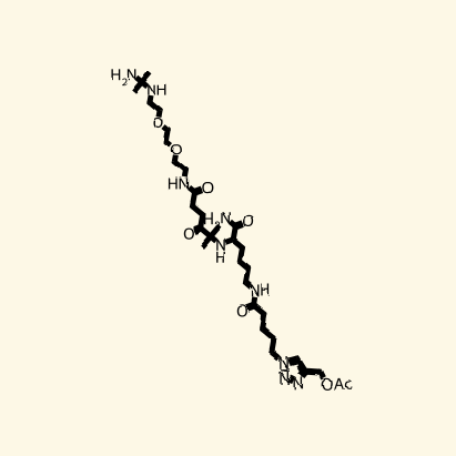 CC(=O)OCc1cn(CCCCC(=O)NCCCCC(NC(C)(C)C(=O)CCC(=O)NCCOCCOCCNC(C)(C)N)C(N)=O)nn1